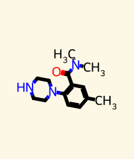 Cc1ccc(N2CCNCC2)c(C(=O)N(C)C)c1